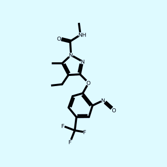 CCc1c(Oc2ccc(C(F)(F)F)cc2N=O)nn(C(=O)NC)c1C